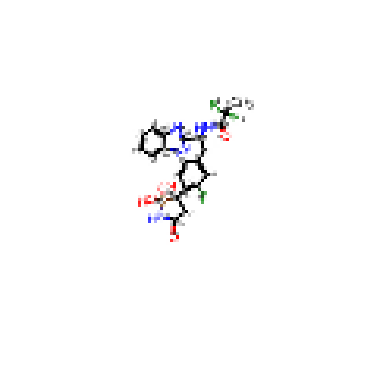 CC(F)(F)C(=O)NC(Cc1ccc(C2CC(=O)NS2(O)O)c(F)c1)c1nc2ccccc2[nH]1